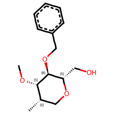 CO[C@@H]1[C@@H](OCc2ccccc2)[C@H](CO)OC[C@@H]1C